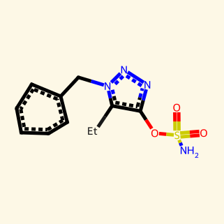 CCc1c(OS(N)(=O)=O)nnn1Cc1ccccc1